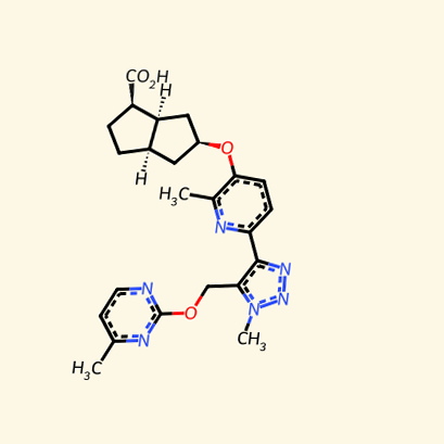 Cc1ccnc(OCc2c(-c3ccc(O[C@H]4C[C@H]5CC[C@@H](C(=O)O)[C@H]5C4)c(C)n3)nnn2C)n1